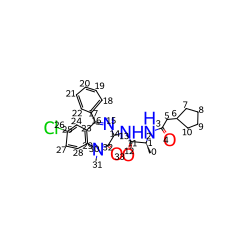 C[C@H](NC(=O)CC1CCCC1)C(=O)NC1N=C(c2ccccc2)c2cc(Cl)ccc2N(C)C1=O